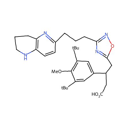 COc1c(C(C)(C)C)cc(C(CC(=O)O)Cc2nc(CCCc3ccc4c(n3)CCCN4)no2)cc1C(C)(C)C